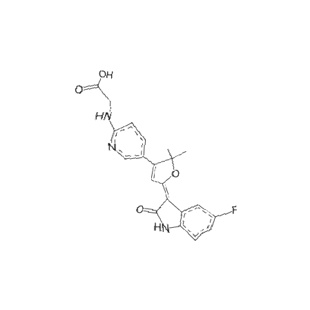 CC1(C)O/C(=C2/C(=O)Nc3ccc(F)cc32)C=C1c1ccc(NCC(=O)O)nc1